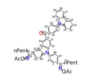 CCCCC/C(=N\OC(C)=O)c1ccc(-n2c3ccc(C(=O)c4ccc(-n5c6ccccc6c6ccccc65)cc4)cc3c3cc(/C(CCCCC)=N/OC(C)=O)ccc32)cc1